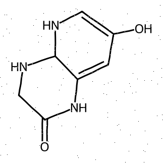 O=C1CNC2NC=C(O)C=C2N1